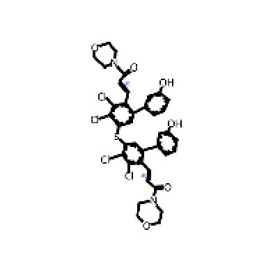 O=C(/C=C/c1c(-c2cccc(O)c2)cc(Sc2cc(-c3cccc(O)c3)c(/C=C/C(=O)N3CCOCC3)c(Cl)c2Cl)c(Cl)c1Cl)N1CCOCC1